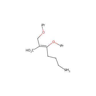 CC(C)OCC(C(=O)O)=C(CCC[SiH3])OC(C)C